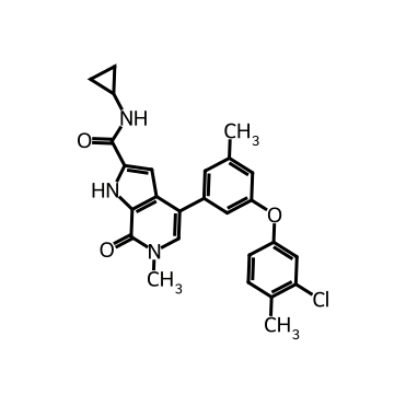 Cc1cc(Oc2ccc(C)c(Cl)c2)cc(-c2cn(C)c(=O)c3[nH]c(C(=O)NC4CC4)cc23)c1